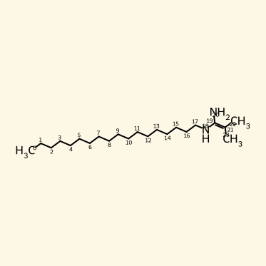 CCCCCCCCCCCCCCCCCCNC(N)=C(C)C